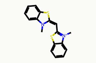 CN1C(=Cc2sc3ccccc3[n+]2C)Sc2ccccc21